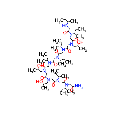 CCC(C)NCC(=O)N(CC(=O)N(CC(=O)N(CC(=O)N(CC(=O)N(CC(=O)N(CC(=O)N(CC(=O)N(CC(=O)N(CC(N)=O)C(C)CC)C(C)CC)CC(C)O)CC(C)O)C(C)CC)C(C)CC)C(C)CC)CC(C)O)C(C)CC